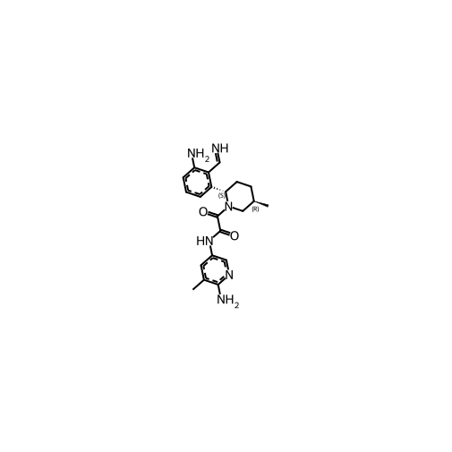 Cc1cc(NC(=O)C(=O)N2C[C@H](C)CC[C@H]2c2cccc(N)c2C=N)cnc1N